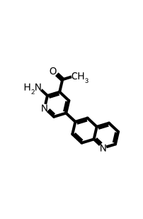 CC(=O)c1cc(-c2ccc3ncccc3c2)cnc1N